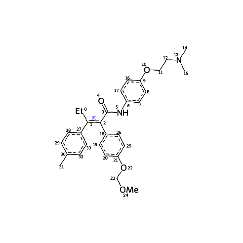 CC/C(=C(\C(=O)Nc1ccc(OCCN(C)C)cc1)c1ccc(OCOC)cc1)c1ccc(C)cc1